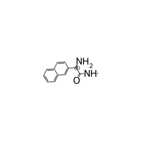 [NH]C(=O)[C@H](N)c1ccc2ccccc2c1